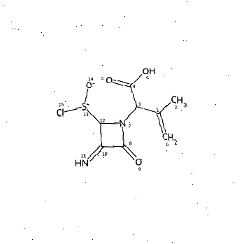 C=C(C)C(C(=O)O)N1C(=O)C(=N)C1[S+]([O-])Cl